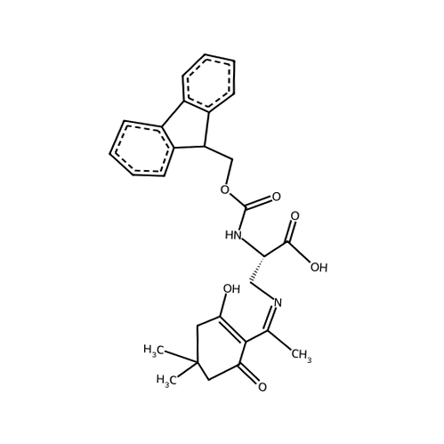 CC(=NC[C@H](NC(=O)OCC1c2ccccc2-c2ccccc21)C(=O)O)C1=C(O)CC(C)(C)CC1=O